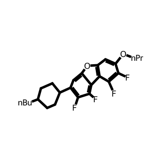 CCCCC1CCC(c2cc3oc4cc(OCCC)c(F)c(F)c4c3c(F)c2F)CC1